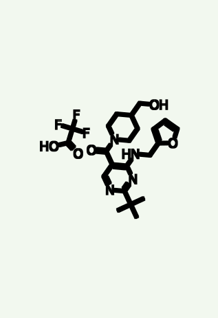 CC(C)(C)c1ncc(C(=O)N2CCC(CO)CC2)c(NCc2ccco2)n1.O=C(O)C(F)(F)F